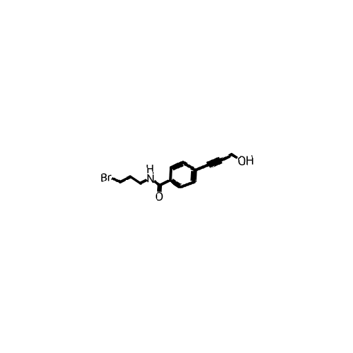 O=C(NCCCBr)c1ccc(C#CCO)cc1